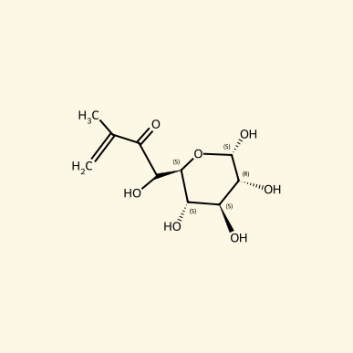 C=C(C)C(=O)C(O)[C@H]1O[C@H](O)[C@H](O)[C@@H](O)[C@@H]1O